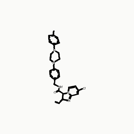 CCC1N=C2C=C(Cl)C=CN2C1C(=O)NCc1ccc(N2CCN(c3ccc(C)cc3)CC2)cc1